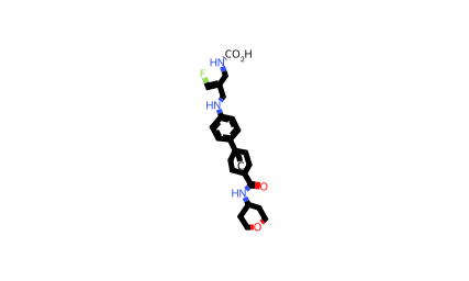 O=C(O)NCC(=CF)CNc1ccc(C23CCC(C(=O)NC4CCOCC4)(CC2)CC3)cc1